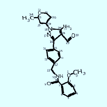 COc1ccccc1C(=O)NCc1ccc(-c2nn(C3CCOC(C)C3)c(N)c2C=O)cc1